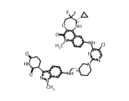 Cn1nc(C2CCC(=O)NC2=O)c2ccc(NC[C@H]3CCCN(c4ncc(Cl)c(Nc5ccc6c(c5)c5c(c(=O)n6C)OCC(F)(F)[C@H](C6CC6)N5)n4)C3)cc21